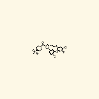 CS(=O)(=O)N1CCN(C(=O)N2C[C@@H](CCOc3ccc(F)c(Cl)c3)[C@@H](c3ccc(Cl)c(Cl)c3)C2)CC1